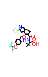 CC(C)(C)C(NC(=O)c1ccc2cnc(Cl)cc2c1OCc1ccc(OC(F)(F)F)cc1)C(=O)O